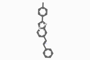 Cc1ccc(-c2cn3ccc(/C=C/c4ccccc4)cc3n2)cc1